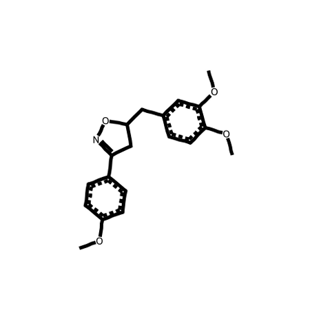 COc1ccc(C2=NOC(Cc3ccc(OC)c(OC)c3)C2)cc1